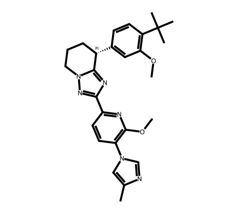 COc1cc([C@H]2CCCn3nc(-c4ccc(-n5cnc(C)c5)c(OC)n4)nc32)ccc1C(C)(C)C